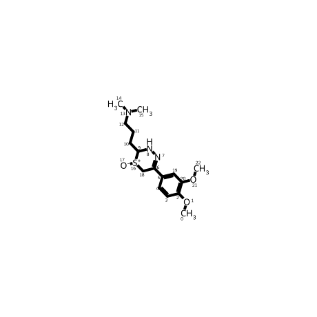 COc1ccc(C2=NNC(CCCN(C)C)[S+]([O-])C2)cc1OC